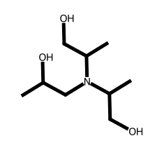 CC(O)CN(C(C)CO)C(C)CO